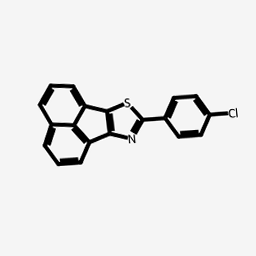 Clc1ccc(-c2nc3c(s2)-c2cccc4cccc-3c24)cc1